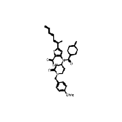 C=C/C=C/C=C(\C)c1cc(N(C(=O)C2CCC(C)CC2)C2CCN(Cc3ccc(OC)cc3)C(=O)C2)c(C(=O)OC)s1